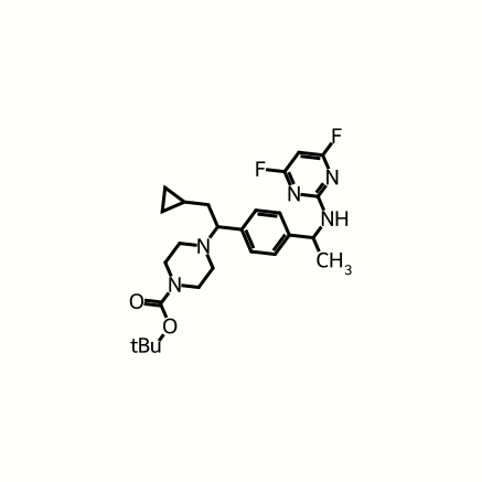 CC(Nc1nc(F)cc(F)n1)c1ccc(C(CC2CC2)N2CCN(C(=O)OC(C)(C)C)CC2)cc1